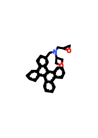 c1ccc2c(c1)c1ccccc1c1c3cc(CN(CC4CO4)C4COC4)ccc3c3ccccc3c21